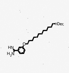 CCCCCCCCCCCCCCCCCCCCCCOc1cccc(C(=N)N)c1